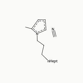 C#N.CCCCCCCCCCn1cccc1C